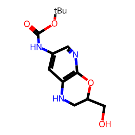 CC(C)(C)OC(=O)Nc1cnc2c(c1)NCC(CO)O2